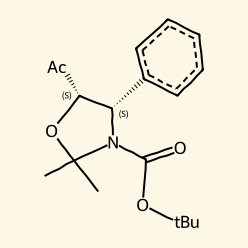 CC(=O)[C@H]1OC(C)(C)N(C(=O)OC(C)(C)C)[C@H]1c1ccccc1